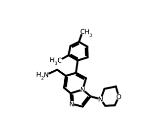 Cc1ccc(-c2cn3c(N4CCOCC4)cnc3cc2CN)c(C)c1